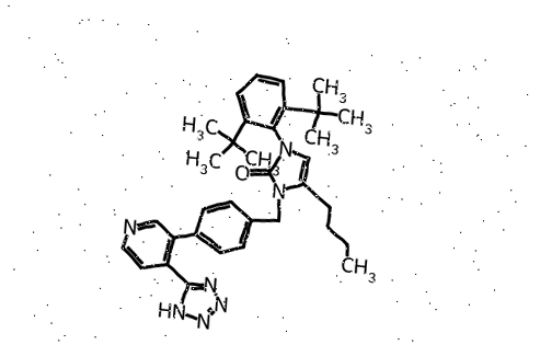 CCCCc1cn(-c2c(C(C)(C)C)cccc2C(C)(C)C)c(=O)n1Cc1ccc(-c2cnccc2-c2nnn[nH]2)cc1